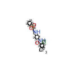 O=C(N[C@H]1CC[C@H](CNCCS(=O)(=O)c2ccccc2)CC1)c1cc(C(F)(F)F)ccc1Cl